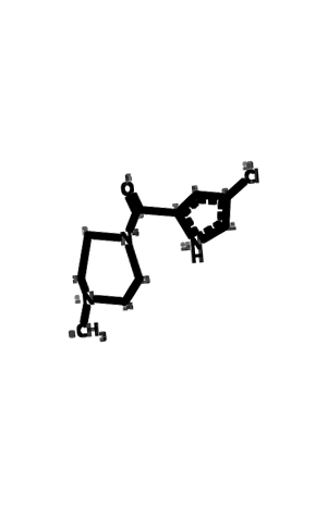 CN1CCN(C(=O)c2cc(Cl)c[nH]2)CC1